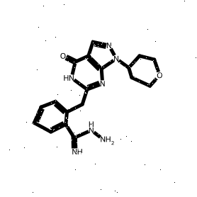 N=C(NN)c1ccccc1Cc1nc2c(cnn2C2CCOCC2)c(=O)[nH]1